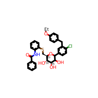 CCOc1ccc(Cc2cc(C3O[C@H](CSc4ccccc4NC(=O)c4ccccc4)[C@@H](O)[C@H](O)C3O)ccc2Cl)cc1